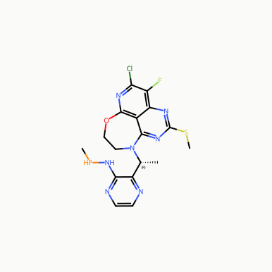 CPNc1nccnc1[C@@H](C)N1CCOc2nc(Cl)c(F)c3nc(SC)nc1c23